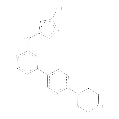 Cn1cc(Nc2nccc(-c3ccc(N4CCNCC4)cc3)n2)cn1